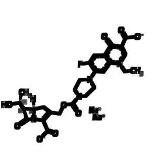 CCn1cc(C(=O)[O-])c(=O)c2cc(F)c(N3CCN(C(=O)OCC4=C(C(=O)[O-])N5C(=O)[C@@H]([C@@H](C)O)[C@H]5C4)CC3)cc21.[Na+].[Na+]